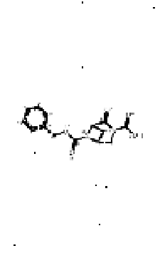 O=C(O)N1CC2CC(C1=O)N2C(=O)OCc1ccccc1